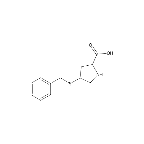 O=C(O)C1CC(SCc2ccccc2)CN1